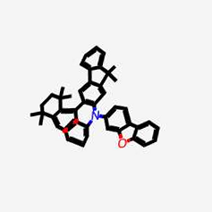 CC1(C)CCC(C)(C)c2c(-c3cc4c(cc3N(c3ccccc3)c3ccc5c(c3)oc3ccccc35)C(C)(C)c3ccccc3-4)cccc21